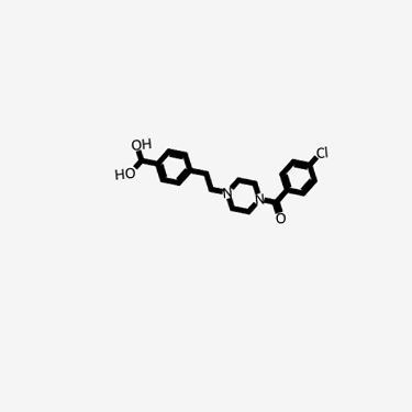 O=C(c1ccc(Cl)cc1)N1CCN(CCc2ccc(C(O)O)cc2)CC1